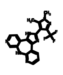 Cc1c(-c2nc3c([nH]2)-c2ccncc2Nc2ncccc2-3)c(C(F)(F)F)nn1C